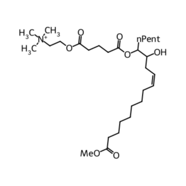 CCCCCC(OC(=O)CCCC(=O)OCC[N+](C)(C)C)C(O)C/C=C\CCCCCCCC(=O)OC